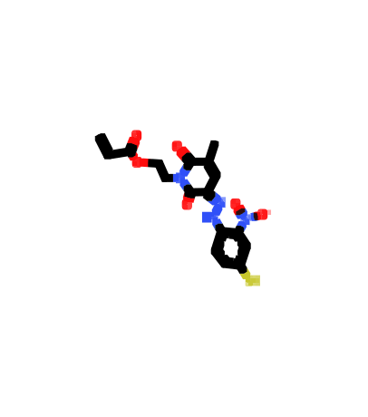 C=CC(=O)OCCN1C(=O)C(C)=C/C(=N/Nc2ccc(S)cc2[N+](=O)[O-])C1=O